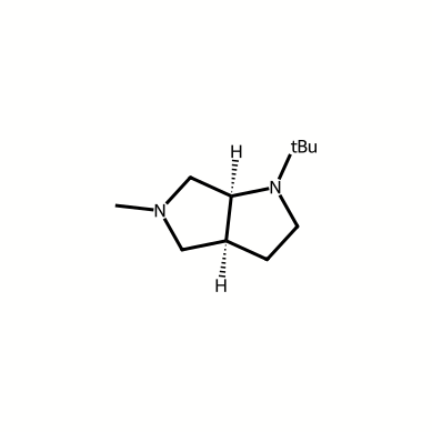 CN1C[C@@H]2CCN(C(C)(C)C)[C@@H]2C1